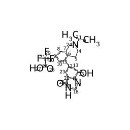 CC(C)N1CCc2c(cccc2-c2cc(O)c3nc[nH]c(=O)c3c2)C1.O=C(O)C(F)(F)F